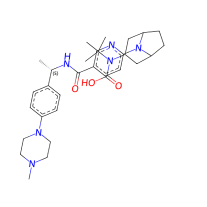 C[C@H](NC(=O)c1ccc(N2C3CCC2CC(N(C(=O)O)C(C)(C)C)C3)nc1)c1ccc(N2CCN(C)CC2)cc1